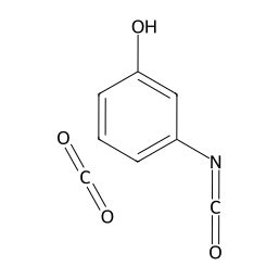 O=C=Nc1cccc(O)c1.O=C=O